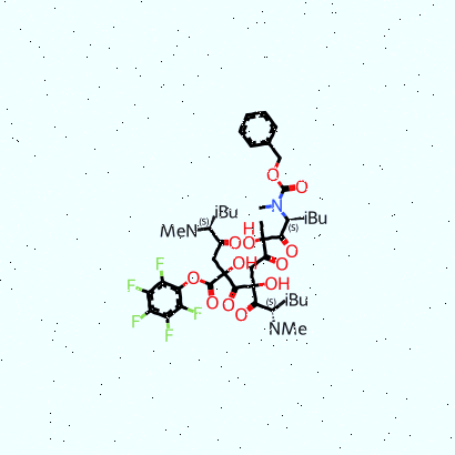 CCC(C)[C@H](NC)C(=O)CC(O)(C(=O)Oc1c(F)c(F)c(F)c(F)c1F)C(=O)C(O)(CC(=O)C(C)(O)C(=O)[C@H](C(C)CC)N(C)C(=O)OCc1ccccc1)C(=O)[C@@H](NC)C(C)CC